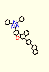 c1ccc(-c2nc(-c3ccccc3)nc(-c3ccc4oc5cc(-c6ccc(-c7ccc8ccccc8c7)cc6)c6ccccc6c5c4c3)n2)cc1